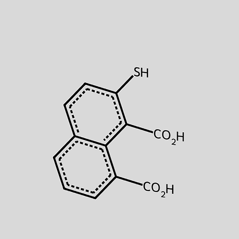 O=C(O)c1cccc2ccc(S)c(C(=O)O)c12